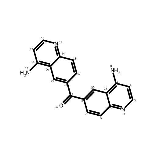 Nc1ccnc2ccc(C(=O)c3ccc4nccc(N)c4c3)cc12